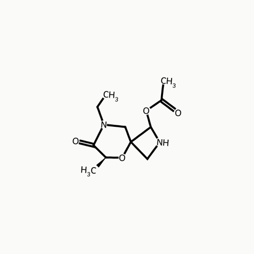 CCN1CC2(CNC2OC(C)=O)O[C@@H](C)C1=O